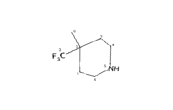 CC1(C(F)(F)F)CCNCC1